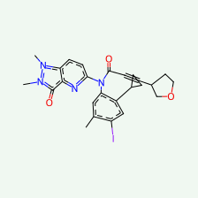 Cc1cc(N(C(=O)C#CC2CCOC2)c2ccc3c(n2)c(=O)n(C)n3C)c(C2CC2)cc1I